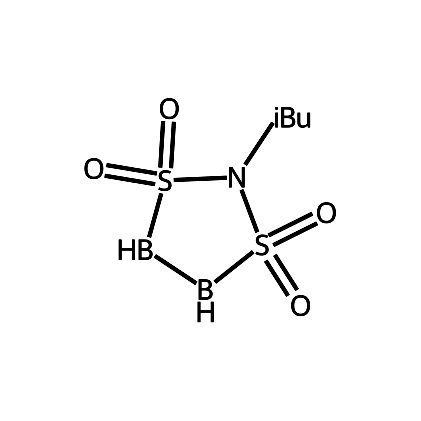 CCC(C)N1S(=O)(=O)BBS1(=O)=O